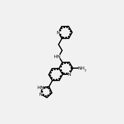 Nc1cc(NCCc2ccccn2)c2ccc(-c3ccn[nH]3)cc2n1